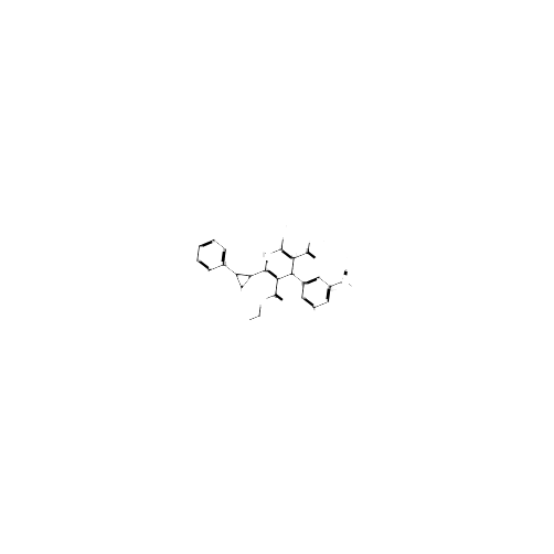 CCOC(=O)C1=C(C2CC2c2ccccc2)NC(C)=C(C(C)=O)C1c1cccc([N+](=O)[O-])c1